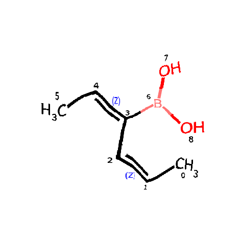 C/C=C\C(=C/C)B(O)O